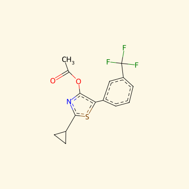 CC(=O)Oc1nc(C2CC2)sc1-c1cccc(C(F)(F)F)c1